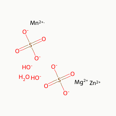 O.O=S(=O)([O-])[O-].O=S(=O)([O-])[O-].[Mg+2].[Mn+2].[OH-].[OH-].[Zn+2]